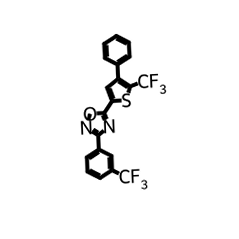 FC(F)(F)c1cccc(-c2noc(-c3cc(-c4ccccc4)c(C(F)(F)F)s3)n2)c1